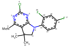 CNc1nc(Cl)nc2c1C(C)(C)CN2c1ccc(F)cc1F